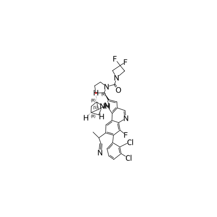 CC(C#N)c1cc2c(ncc3cc([C@H]4CCCN4C(=O)N4CC(F)(F)C4)n([C@H]4[C@H]5CN[C@@H]4C5)c32)c(F)c1-c1cccc(Cl)c1Cl